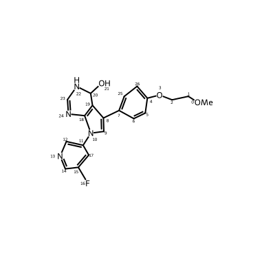 COCCOc1ccc(-c2cn(-c3cncc(F)c3)c3c2C(O)NC=N3)cc1